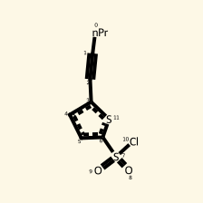 CCCC#Cc1ccc(S(=O)(=O)Cl)s1